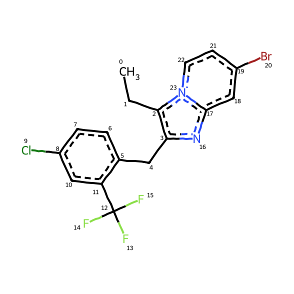 CCc1c(Cc2ccc(Cl)cc2C(F)(F)F)nc2cc(Br)ccn12